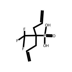 C=CCC(CC=C)(C(F)(F)F)P(=O)(O)O